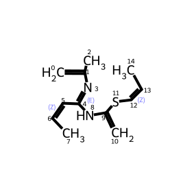 C=C(C)/N=C(\C=C/C)NC(=C)S/C=C\C